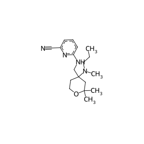 CCCN(C)C1(CNc2cccc(C#N)n2)CCOC(C)(C)C1